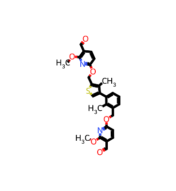 COc1nc(OCc2cccc(-c3csc(COc4ccc(C=O)c(OC)n4)c3C)c2C)ccc1C=O